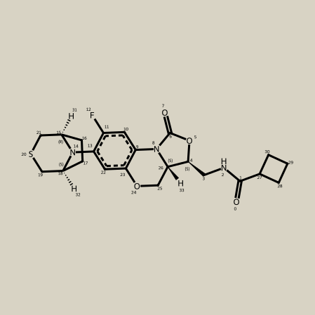 O=C(NC[C@@H]1OC(=O)N2c3cc(F)c(N4[C@@H]5CC[C@H]4CSC5)cc3OC[C@@H]12)C1CCC1